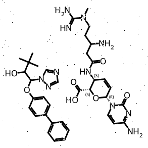 CC(C)(C)C(O)C(Oc1ccc(-c2ccccc2)cc1)n1cncn1.CN(CCC(N)CC(=O)N[C@H]1C=C[C@H](n2ccc(N)nc2=O)O[C@@H]1C(=O)O)C(=N)N